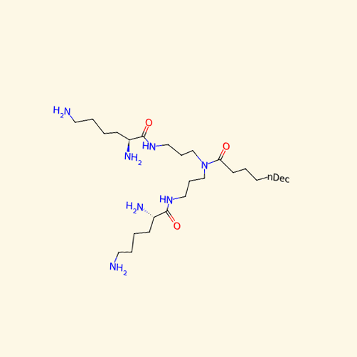 CCCCCCCCCCCCCC(=O)N(CCCNC(=O)[C@@H](N)CCCCN)CCCNC(=O)[C@@H](N)CCCCN